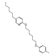 CCCCCCc1ccc(OCCCCCCOc2ccc(C)cc2)nc1